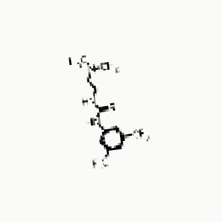 CN(C)CCNC(=S)Nc1cc(C(F)(F)F)cc(C(F)(F)F)c1